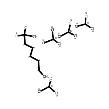 CCCCCCC(Cl)(Cl)Cl.ClC(Cl)Cl.ClC(Cl)Cl.ClC(Cl)Cl.ClC(Cl)Cl